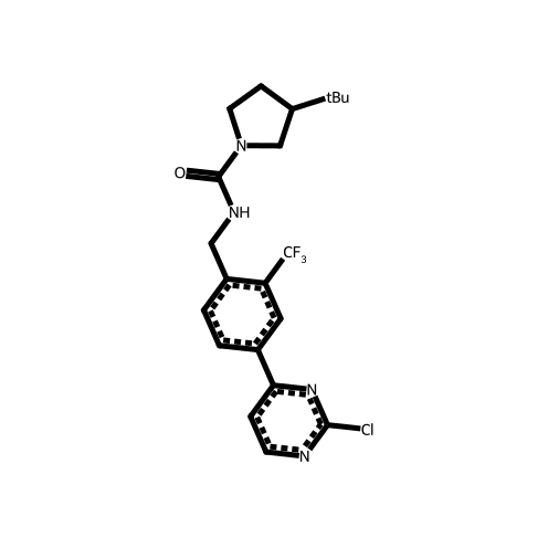 CC(C)(C)C1CCN(C(=O)NCc2ccc(-c3ccnc(Cl)n3)cc2C(F)(F)F)C1